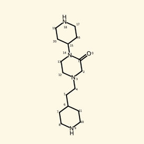 O=C1CN(CCC2CCNCC2)CCN1C1CCNCC1